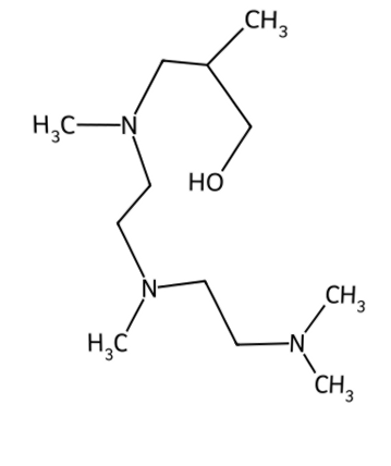 CC(CO)CN(C)CCN(C)CCN(C)C